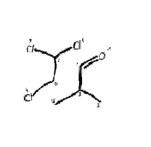 CC(C)C=O.ClCC(Cl)Cl